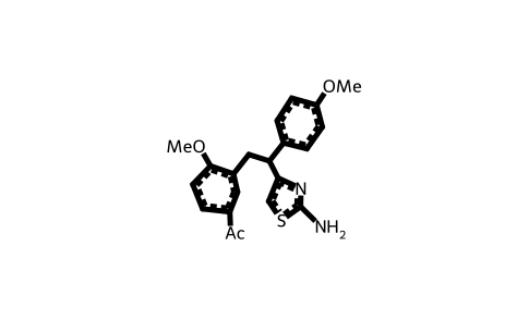 COc1ccc(C(Cc2cc(C(C)=O)ccc2OC)c2csc(N)n2)cc1